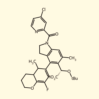 Cc1cc2c(c(C3=CC(F)=C4OCCCC4C3C)c1[C@H](OC(C)(C)C)C(=O)O)CCN2C(=O)c1cc(Cl)ccn1